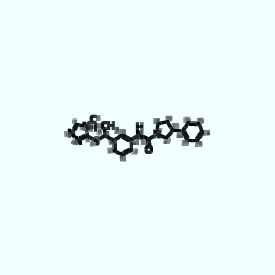 C[C@H](Sc1nncn1C)c1cccc(NC(=O)N2CCC(c3ccccc3)C2)c1